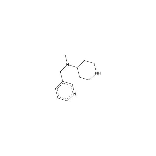 CN(Cc1cccnc1)C1CCNCC1